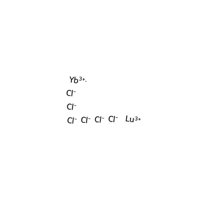 [Cl-].[Cl-].[Cl-].[Cl-].[Cl-].[Cl-].[Lu+3].[Yb+3]